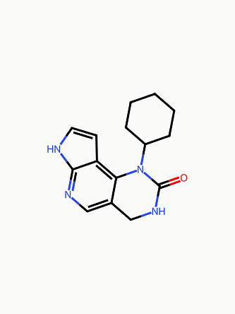 O=C1NCc2cnc3[nH]ccc3c2N1C1CCCCC1